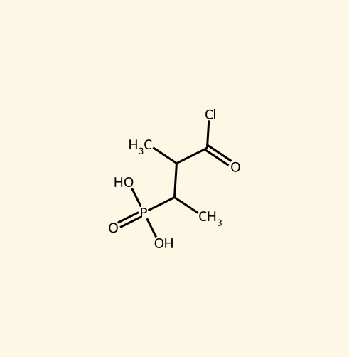 CC(C(=O)Cl)C(C)P(=O)(O)O